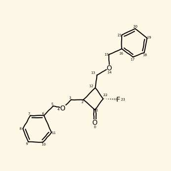 O=C1C(COCc2ccccc2)C(COCc2ccccc2)[C@@H]1F